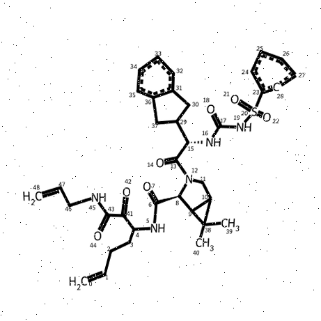 C=CCCC(NC(=O)[C@@H]1C2C(CN1C(=O)[C@@H](NC(=O)NS(=O)(=O)c1ccccc1)C1Cc3ccccc3C1)C2(C)C)C(=O)C(=O)NCC=C